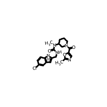 Cc1ncc(C(=O)N2CCCC(N(C)C(=O)NCc3cc4cc(Cl)ccc4[nH]3)C2)o1